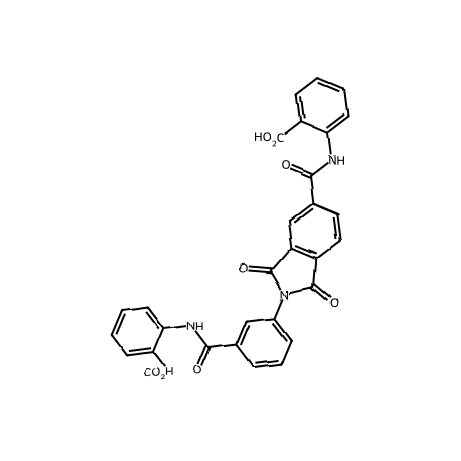 O=C(Nc1ccccc1C(=O)O)c1cccc(N2C(=O)c3ccc(C(=O)Nc4ccccc4C(=O)O)cc3C2=O)c1